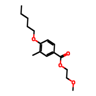 CCCCCOc1ccc(C(=O)OCCOC)cc1C